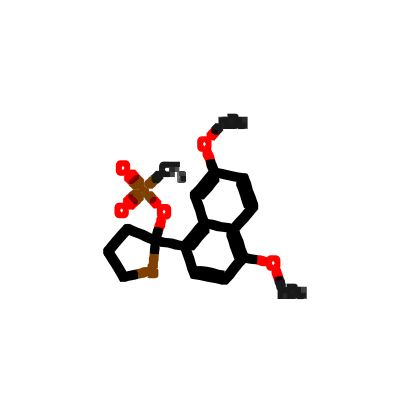 CCCCOc1ccc2c(OCCCC)ccc(C3(OS(=O)(=O)C(F)(F)F)CCCS3)c2c1